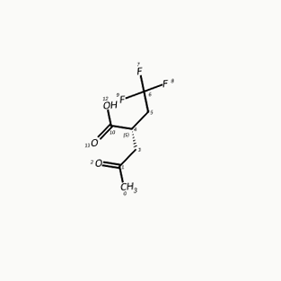 CC(=O)C[C@@H](CC(F)(F)F)C(=O)O